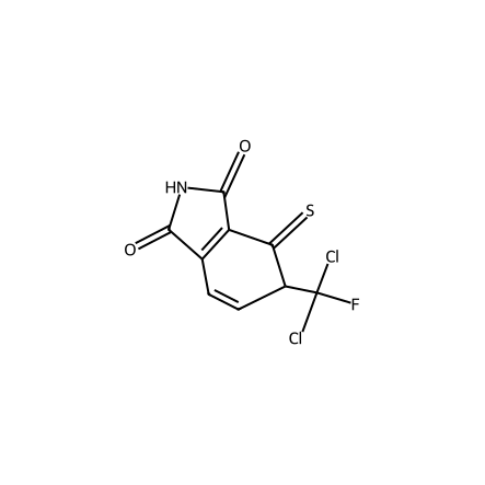 O=C1NC(=O)C2=C1C=CC(C(F)(Cl)Cl)C2=S